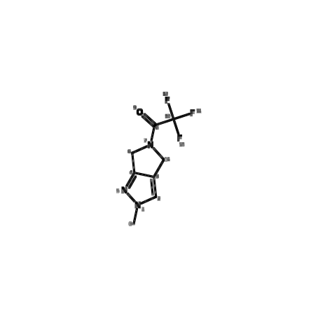 Cn1cc2c(n1)CN(C(=O)C(F)(F)F)C2